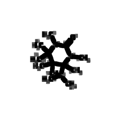 CN1C(=O)N(C)C(C)(N(C)C)C(C)(C)C1(C)C